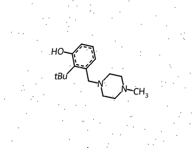 CN1CCN(Cc2cccc(O)c2C(C)(C)C)CC1